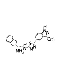 Cc1n[nH]c2ccc(-c3nnc(NC[C@H](N)C4Cc5ccccc5C4)s3)cc12